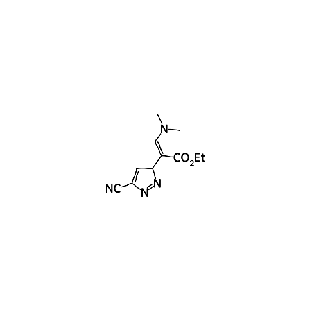 CCOC(=O)C(=CN(C)C)C1C=C(C#N)N=N1